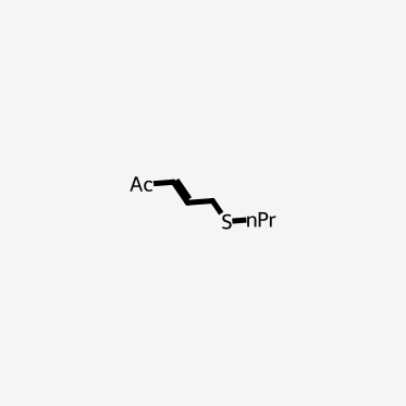 CCCSCC=CC(C)=O